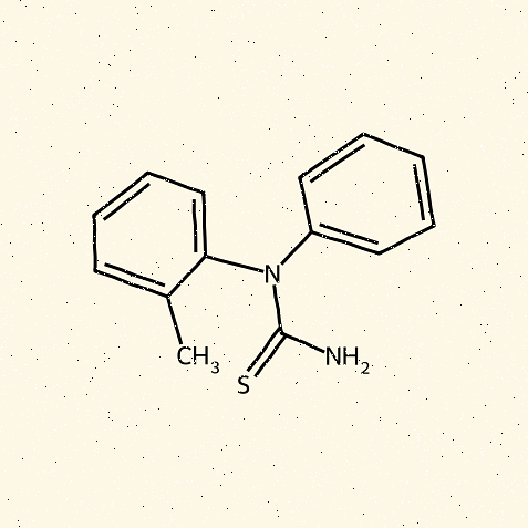 Cc1ccccc1N(C(N)=S)c1ccccc1